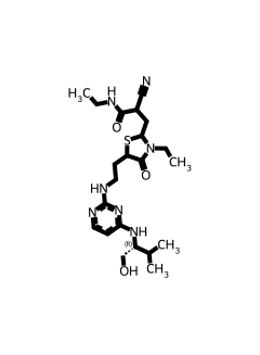 CCNC(=O)C(C#N)CC1SC(CCNc2nccc(N[C@@H](CO)C(C)C)n2)C(=O)N1CC